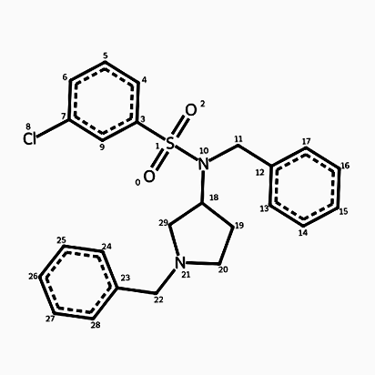 O=S(=O)(c1cccc(Cl)c1)N(Cc1ccccc1)C1CCN(Cc2ccccc2)C1